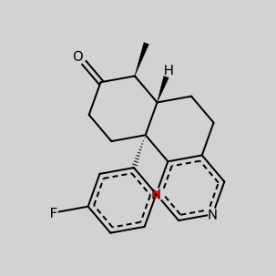 C[C@@H]1C(=O)CC[C@]2(c3cccc(F)c3)c3ncncc3CC[C@@H]12